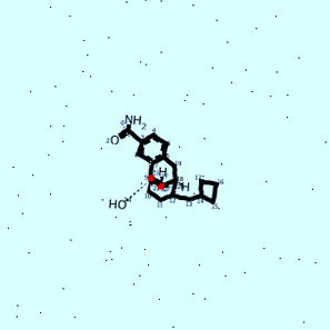 NC(=O)c1ccc2c(c1)[C@]13CCC(CC4CCC4)[C@H](C2)[C@@H]1CC[C@H](O)C3